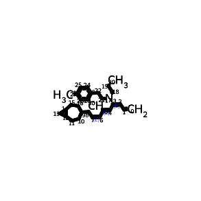 C=C\C=C(/C=C/C=C\CC1CCC2CC2CC1)N(CCC)CCc1ccc(C)cc1C